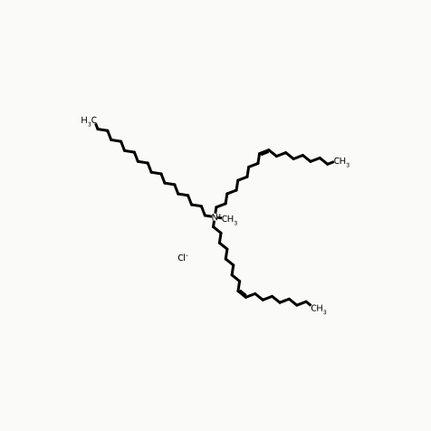 CCCCCCCC/C=C\CCCCCCCC[N+](C)(CCCCCCCC/C=C\CCCCCCCC)CCCCCCCCCCCCCCCCCC.[Cl-]